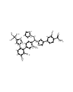 NC(=O)c1ccc(-c2cnn(C(Cn3cccn3)c3ccc(-c4c(-n5cc(C(F)(F)F)nn5)ccc(Cl)c4F)c[n+]3[O-])c2)cc1F